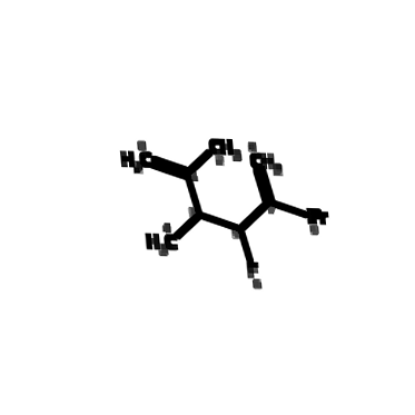 C=C(C)C(C)C(F)C(=C)C(C)C